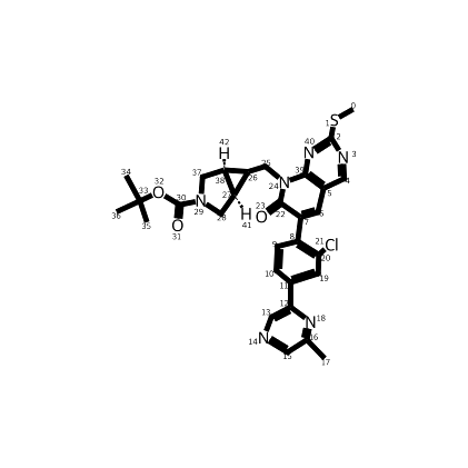 CSc1ncc2cc(-c3ccc(-c4cncc(C)n4)cc3Cl)c(=O)n(CC3[C@H]4CN(C(=O)OC(C)(C)C)C[C@@H]34)c2n1